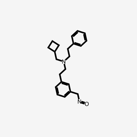 O=NCc1cccc(CCN(CCc2ccccc2)CC2CCC2)c1